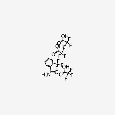 NC(=O)c1ccccc1C(F)(F)F.O=C(O)C(F)(F)F.O=C(O)C(F)(F)F.O=C(O)C(F)(F)F